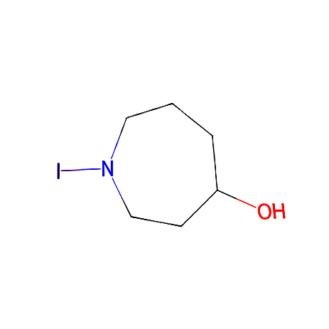 OC1CCCN(I)CC1